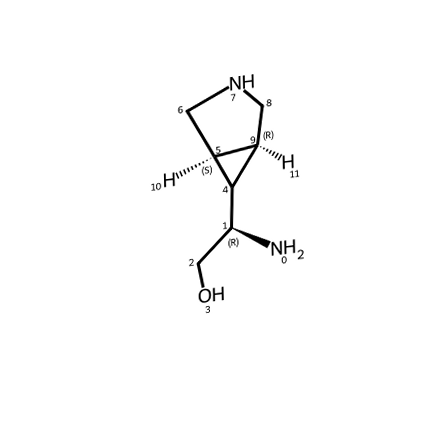 N[C@@H](CO)C1[C@H]2CNC[C@@H]12